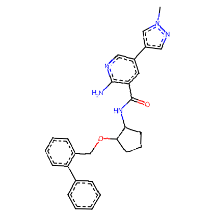 Cn1cc(-c2cnc(N)c(C(=O)NC3CCCC3OCc3ccccc3-c3ccccc3)c2)cn1